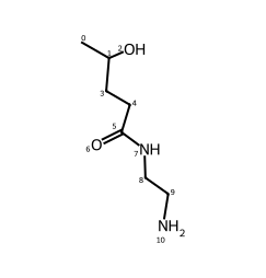 CC(O)CCC(=O)NCCN